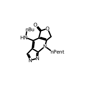 CCCCCn1c2nncc-2c(NCCCC)c2c1COC2=O